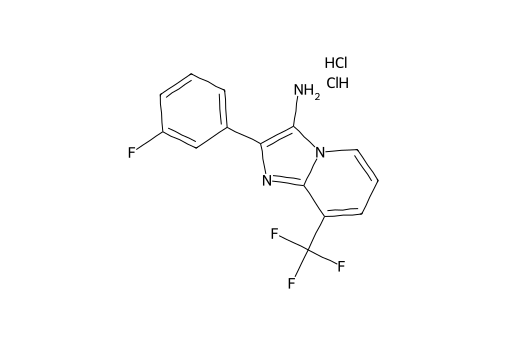 Cl.Cl.Nc1c(-c2cccc(F)c2)nc2c(C(F)(F)F)cccn12